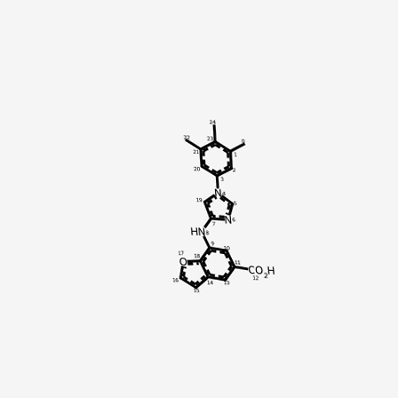 Cc1cc(-n2cnc(Nc3cc(C(=O)O)cc4ccoc34)c2)cc(C)c1C